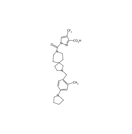 Cc1cc(N2CCCC2)ccc1CN1CCC2(CCN(C(=O)n3cc(C(F)(F)F)c(C(=O)O)n3)CC2)C1